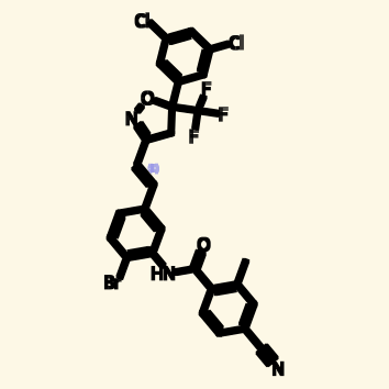 Cc1cc(C#N)ccc1C(=O)Nc1cc(/C=C/C2=NOC(c3cc(Cl)cc(Cl)c3)(C(F)(F)F)C2)ccc1Br